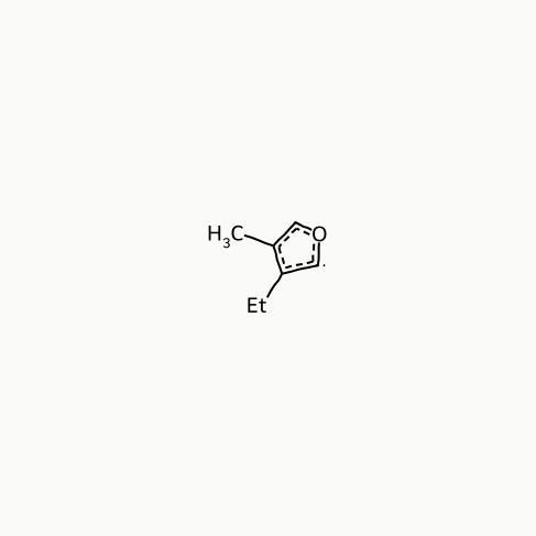 CCc1[c]occ1C